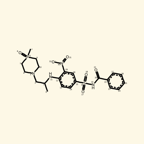 CC(CN1CCP(C)(=O)CC1)Nc1ccc(S(=O)(=O)NC(=O)c2ccccc2)cc1[N+](=O)[O-]